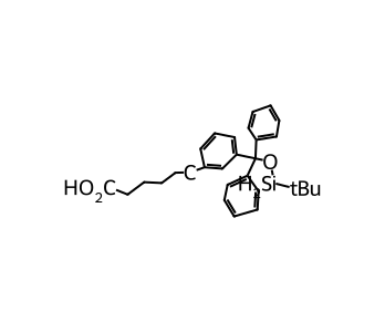 CC(C)(C)[SiH2]OC(c1ccccc1)(c1ccccc1)c1cccc(CCCCCC(=O)O)c1